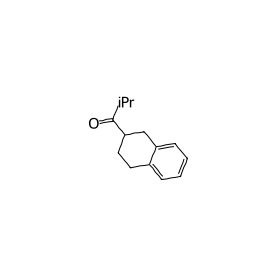 CC(C)C(=O)C1CCc2ccccc2C1